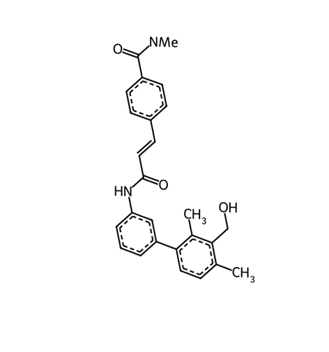 CNC(=O)c1ccc(C=CC(=O)Nc2cccc(-c3ccc(C)c(CO)c3C)c2)cc1